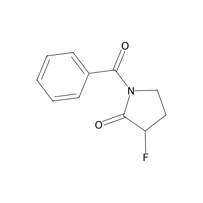 O=C(c1ccccc1)N1CCC(F)C1=O